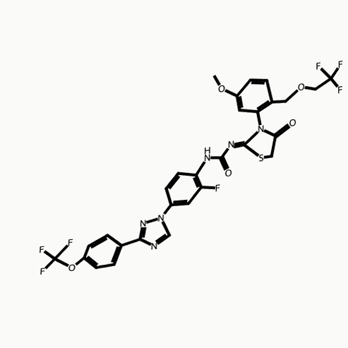 COc1ccc(COCC(F)(F)F)c(N2C(=O)CSC2=NC(=O)Nc2ccc(-n3cnc(-c4ccc(OC(F)(F)F)cc4)n3)cc2F)c1